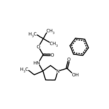 CCC1(NC(=O)OC(C)(C)C)CCN(C(=O)O)C1.c1ccccc1